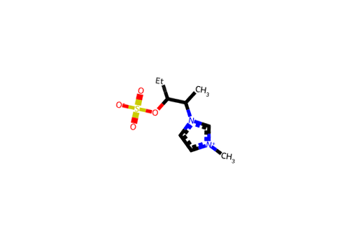 CCC(OS(=O)(=O)[O-])C(C)n1cc[n+](C)c1